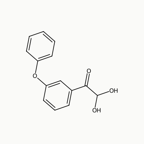 O=C(c1cccc(Oc2ccccc2)c1)C(O)O